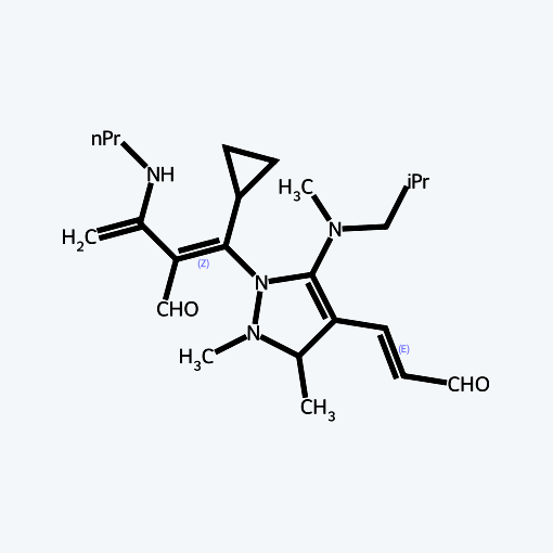 C=C(NCCC)/C(C=O)=C(\C1CC1)N1C(N(C)CC(C)C)=C(/C=C/C=O)C(C)N1C